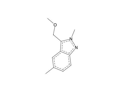 COCc1c2cc(C)ccc2nn1C